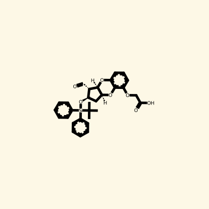 CC(C)(C)[Si](O[C@@H]1C[C@@H]2Oc3c(OCC(=O)O)cccc3O[C@@H]2[C@H]1C=O)(c1ccccc1)c1ccccc1